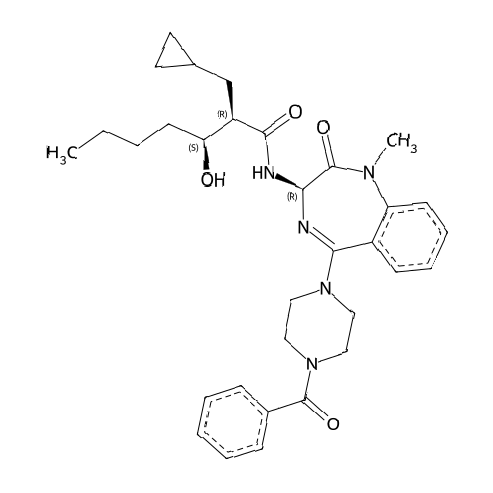 CCCC[C@H](O)[C@@H](CC1CC1)C(=O)N[C@@H]1N=C(N2CCN(C(=O)c3ccccc3)CC2)c2ccccc2N(C)C1=O